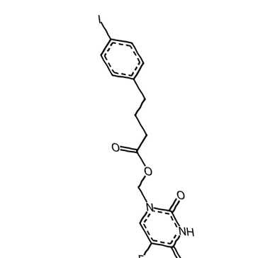 O=C(CCCc1ccc(I)cc1)OCn1cc(F)c(=O)[nH]c1=O